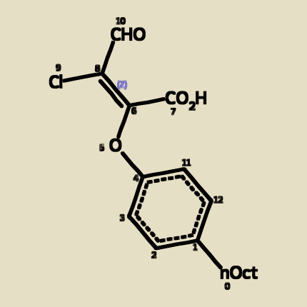 CCCCCCCCc1ccc(O/C(C(=O)O)=C(\Cl)C=O)cc1